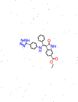 CCOC(=O)c1ccc2c(c1)NC(=O)C2=C(Nc1ccc(-c2nnn[nH]2)cc1)c1ccccc1